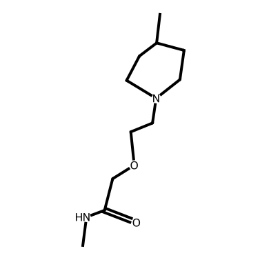 CNC(=O)COCCN1CCC(C)CC1